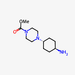 COC(=O)N1CCN([C@H]2CC[C@H](N)CC2)CC1